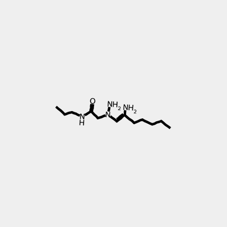 CCCCC/C(N)=C/N(N)CC(=O)NCCC